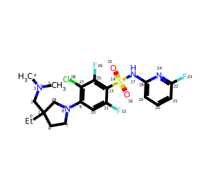 CCC1(CN(C)C)CCN(c2cc(F)c(S(=O)(=O)Nc3cccc(F)n3)c(F)c2Cl)C1